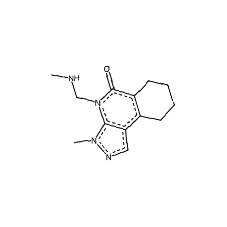 CNCn1c(=O)c2c(c3cnn(C)c31)CCCC2